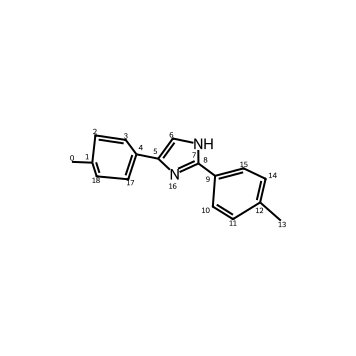 Cc1ccc(-c2c[nH]c(-c3ccc(C)cc3)n2)cc1